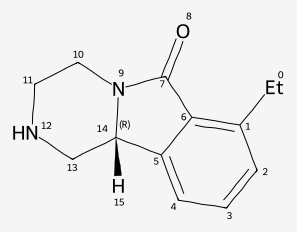 CCc1cccc2c1C(=O)N1CCNC[C@@H]21